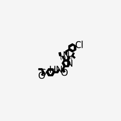 C=C[C@@H]1c2cc(C(=O)NCc3ccc([S+]([O-])CC)cc3)cnc2[C@H](C(C)C)N1Cc1ccc(Cl)cc1